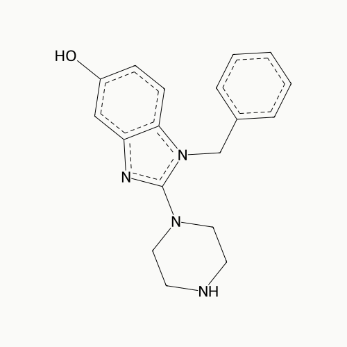 Oc1ccc2c(c1)nc(N1CCNCC1)n2Cc1ccccc1